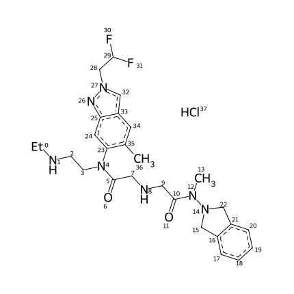 CCNCCN(C(=O)CNCC(=O)N(C)N1Cc2ccccc2C1)c1cc2nn(CC(F)F)cc2cc1C.Cl